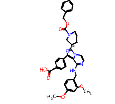 COc1ccc(CNc2nccn3c([C@@H]4CCCN(C(=O)OCc5ccccc5)C4)nc(-c4ccc(C(=O)O)cc4)c23)c(OC)c1